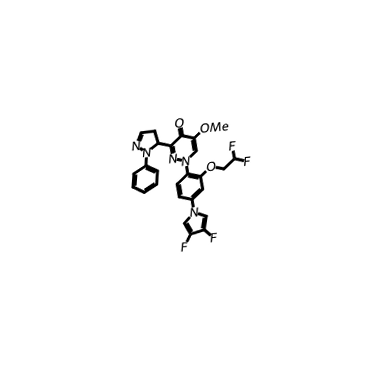 COc1cn(-c2ccc(-n3cc(F)c(F)c3)cc2OCC(F)F)nc(C2CC=NN2c2ccccc2)c1=O